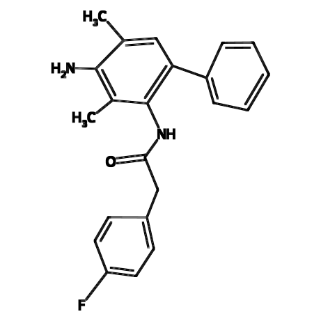 Cc1cc(-c2ccccc2)c(NC(=O)Cc2ccc(F)cc2)c(C)c1N